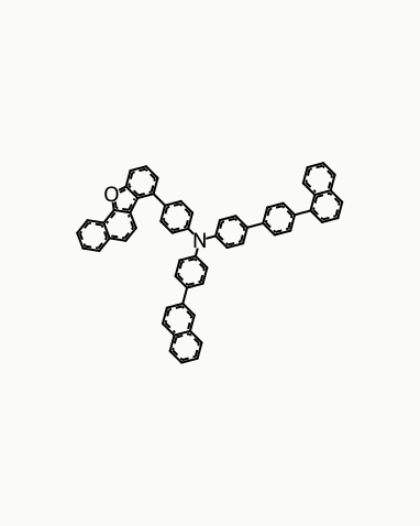 c1ccc2cc(-c3ccc(N(c4ccc(-c5ccc(-c6cccc7ccccc67)cc5)cc4)c4ccc(-c5cccc6oc7c8ccccc8ccc7c56)cc4)cc3)ccc2c1